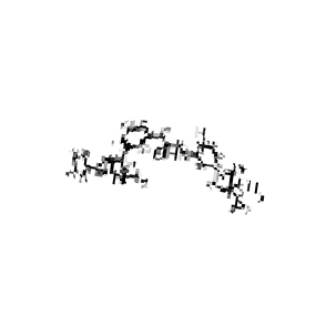 CC1(C2CC2)CCN(C2C=CNC(NCC(=O)Cc3cccc(/C(=C/NC4CCCC4)CN)c3)C2)C1=O